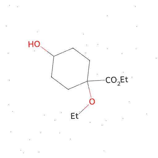 CCOC(=O)C1(OCC)CCC(O)CC1